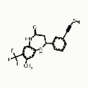 Cc1cc2c(cc1C(F)(F)F)NC(=O)CC(c1cccc(C#CSI)c1)N2